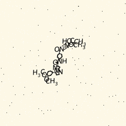 COc1ccc(-c2ccnc3cc(C(=O)Nc4ccc(C(=O)N5CCN(C(=O)OC(C)(C)C)CC5)cc4)nn23)cc1OC